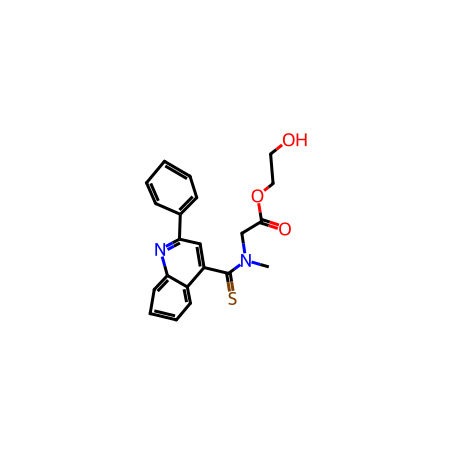 CN(CC(=O)OCCO)C(=S)c1cc(-c2ccccc2)nc2ccccc12